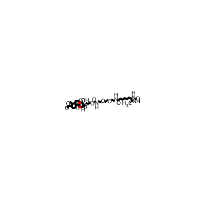 C[C@@H]1NC(=O)NC1CCCCCC(=O)NCCOCCOCCNC(=O)OCCC[C@]12O[C@H]1[C@@H]1O[C@]13[C@]1(O[C@H]1CC1C4=C(CC[C@@]13C)C(=O)OC4)[C@@H]2O